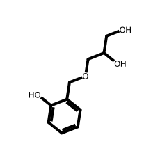 OCC(O)COCc1ccccc1O